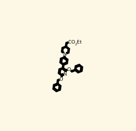 CCOC(=O)CC1CCN(c2ccc(-c3ccc(OCc4ccccc4)nc3OCc3ccccc3)cc2)CC1